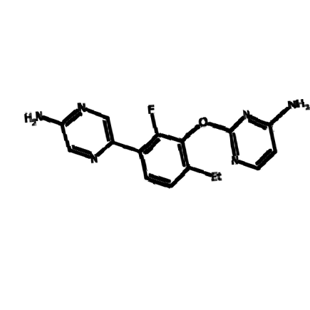 CCc1ccc(-c2cnc(N)cn2)c(F)c1Oc1nccc(N)n1